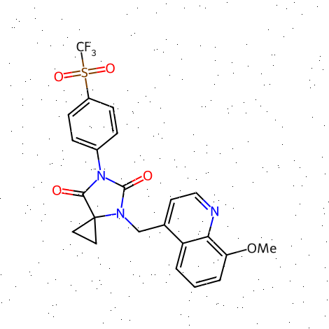 COc1cccc2c(CN3C(=O)N(c4ccc(S(=O)(=O)C(F)(F)F)cc4)C(=O)C34CC4)ccnc12